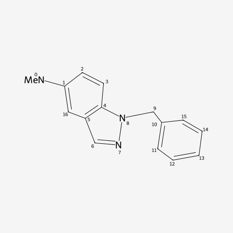 CNc1ccc2c(cnn2Cc2ccccc2)c1